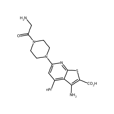 CCCc1cc(N2CCN(C(=O)CN)CC2)nc2sc(C(=O)O)c(N)c12